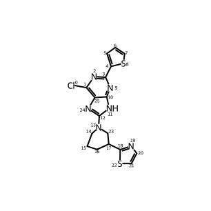 Clc1nc(-c2cccs2)nc2[nH]c(N3CCCC(c4nccs4)C3)nc12